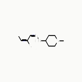 CN1CCC(N/N=C\C(N)=C/I)CC1